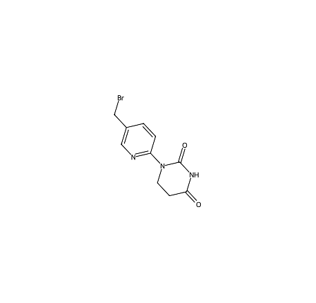 O=C1CCN(c2ccc(CBr)cn2)C(=O)N1